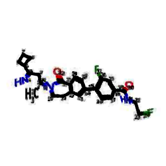 C[C@H](CC(=N)C1CCC1)N1CCc2cc(-c3ccc(C(=O)NCCF)cc3F)ccc2C1=O